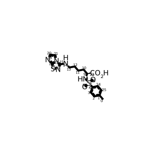 Cc1ccc(S(=O)(=O)N[C@@H](CCCCNc2nsc3nccn23)C(=O)O)cc1